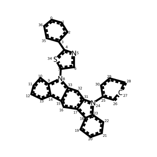 c1ccc(-c2ncc(-n3c4ccccc4c4cc5c6ccccc6n(-c6ccccc6)c5cc43)s2)cc1